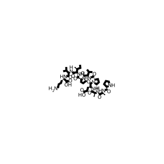 CC[C@H](C)[C@H](NC(=O)[C@@H]1CCCN1C(=O)[C@@H](NC(=O)[C@@H]1CCCN1C(=O)[C@H](CCC(=O)O)NC(=O)[C@H](C)NC(=O)[C@H](C)NC(=O)[C@@H]1CCCN1)C(C)C)C(=O)N[C@H](C(=O)N[C@@H](CCCCN)C(=O)O)C(C)C